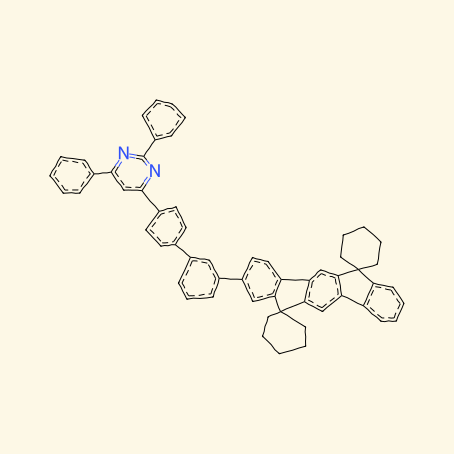 c1ccc(-c2cc(-c3ccc(-c4cccc(-c5ccc6c(c5)C5(CCCCC5)c5cc7c(cc5-6)C5(CCCCC5)c5ccccc5-7)c4)cc3)nc(-c3ccccc3)n2)cc1